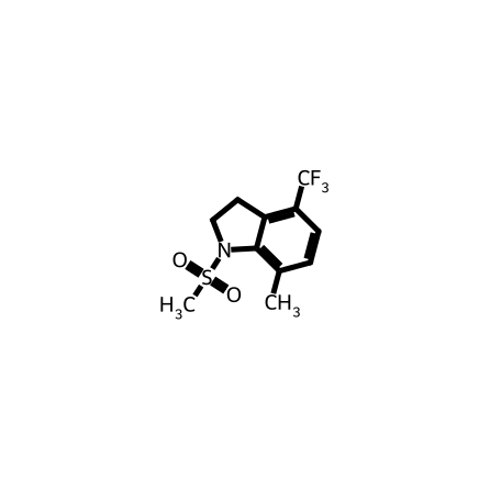 Cc1ccc(C(F)(F)F)c2c1N(S(C)(=O)=O)CC2